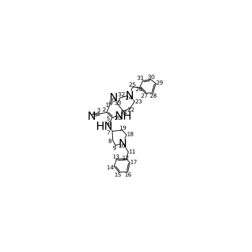 N#CC(C#N)=C(NC1CCN(Cc2ccccc2)CC1)NC1CCN(Cc2ccccc2)CC1